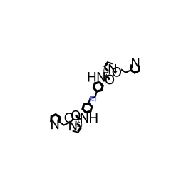 O=C(Nc1ccc(/C=C/c2ccc(NC(=O)[C@@H]3C=CCN3C(=O)Cc3ccccn3)cc2)cc1)[C@@H]1C=CCN1OCCc1cccnc1